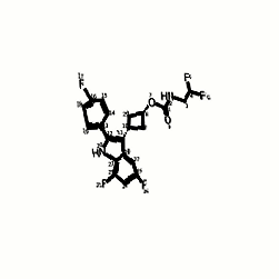 O=C(NCC(F)F)O[C@H]1C[C@H](c2c(-c3ccc(F)cc3)[nH]c3c(F)cc(F)cc32)C1